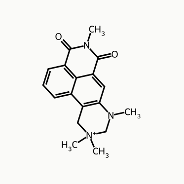 CN1C(=O)c2cccc3c4c(cc(c23)C1=O)N(C)C[N+](C)(C)C4